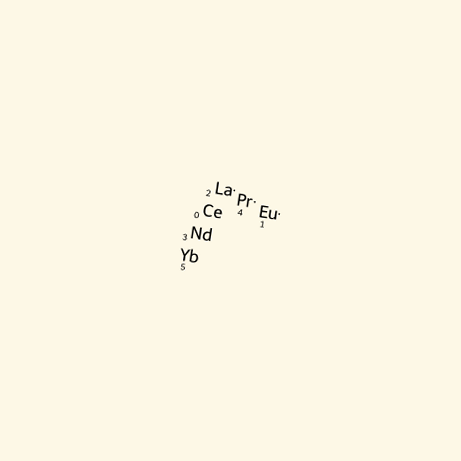 [Ce].[Eu].[La].[Nd].[Pr].[Yb]